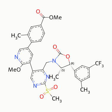 COC(=O)c1ccc(-c2cnc(OC)c(-c3cnc(S(C)(=O)=O)nc3CN3C(=O)O[C@H](c4cc(C)cc(C(F)(F)F)c4)[C@@H]3C)c2)c(C)c1